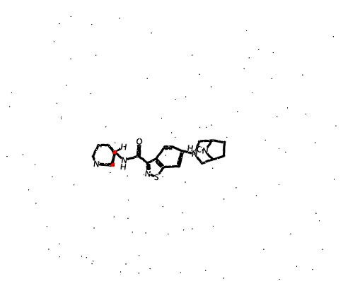 CN1C2CCC1CN(c1ccc3c(C(=O)N[C@@H]4CN5CCC4CC5)nsc3c1)C2